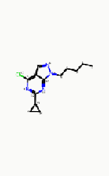 CCCCCn1ncc2c(Cl)nc(C3CC3)nc21